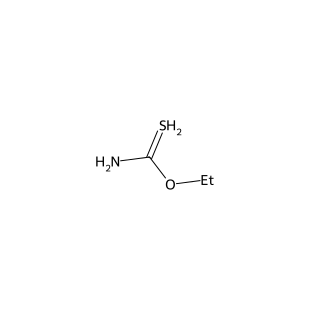 CCOC(N)=[SH2]